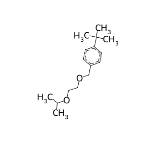 CC(C)OCCOCc1ccc(C(C)(C)C)cc1